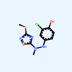 CSc1nsc(N(C)Nc2ccc(O)c(Cl)c2)n1